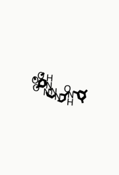 COc1cc(Nc2nccc(N3CCCC(C(=O)NCc4cc(C)cc(C)c4)C3)n2)cc(OC)c1OC